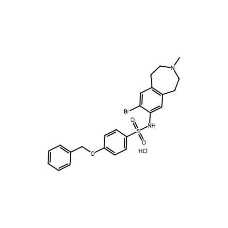 CN1CCc2cc(Br)c(NS(=O)(=O)c3ccc(OCc4ccccc4)cc3)cc2CC1.Cl